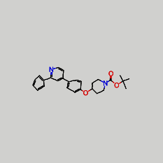 CC(C)(C)OC(=O)N1CCC(Oc2ccc(-c3ccnc(-c4ccccc4)c3)cc2)CC1